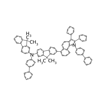 CC1(C)c2ccccc2-c2ccc(N(c3ccc(-c4ccccc4)cc3)c3ccc4c(c3)C(C)(C)c3cc(-c5cccc6c5ccc5c(-c7ccccc7)c(-c7ccccc7)n(-c7ccc(-c8ccccc8)cc7)c56)ccc3-4)cc21